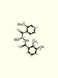 COc1cnccc1C(=O)N(NC(=O)c1cccc(O)c1C)C(C)(C)C